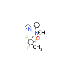 Cc1c(F)cc(F)c(CC(=O)N(C)[C@H](CN2CCCC2)c2ccccc2)c1F